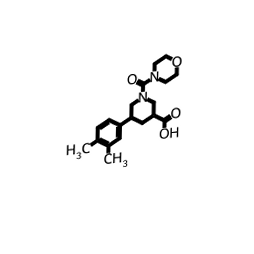 Cc1ccc(C2CC(C(=O)O)CN(C(=O)N3CCOCC3)C2)cc1C